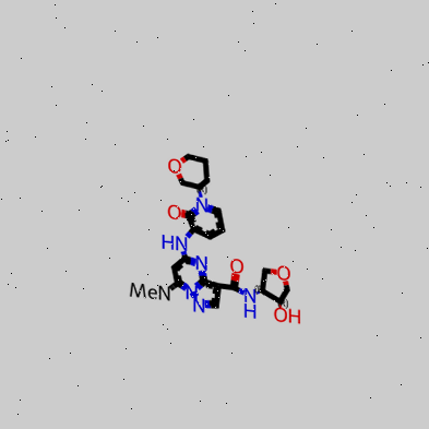 CNc1cc(Nc2cccn([C@@H]3CCCOC3)c2=O)nc2c(C(=O)N[C@@H]3COC[C@@H]3O)cnn12